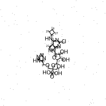 O=P(O)(O)[C@](CO)(COCc1nnn[nH]1)OC[C@H]1O[C@@H](n2ncc3c(NC4CCC4)nc(Cl)nc32)[C@H](O)[C@@H]1O